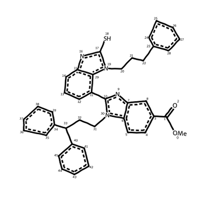 COC(=O)c1ccc2c(c1)nc(-c1cccc3nc(S)n(CCCc4ccccc4)c13)n2CCC(c1ccccc1)c1ccccc1